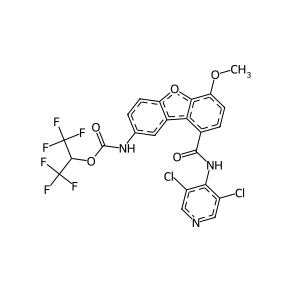 COc1ccc(C(=O)Nc2c(Cl)cncc2Cl)c2c1oc1ccc(NC(=O)OC(C(F)(F)F)C(F)(F)F)cc12